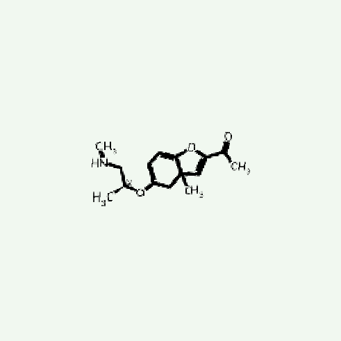 CNC[C@H](C)OC1=CC=C2OC(C(C)=O)=CC2(C)C1